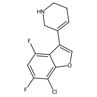 Fc1cc(F)c2c(C3=CCCNC3)coc2c1Cl